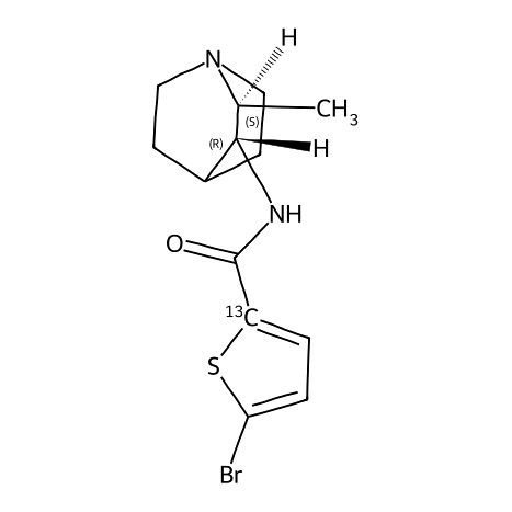 C[C@H]1[C@H](NC(=O)[13c]2ccc(Br)s2)C2CCN1CC2